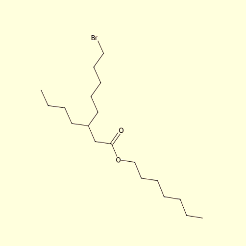 CCCCCCCOC(=O)CC(CCCC)CCCCCBr